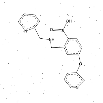 O=S(O)c1ccc(Oc2cccnc2)cc1CNCc1ccccn1